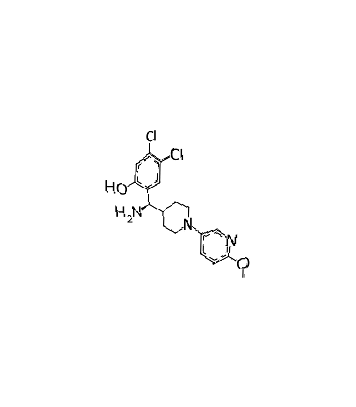 COc1ccc(N2CCC([C@@H](N)c3cc(Cl)c(Cl)cc3O)CC2)cn1